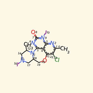 Cc1nc2c3c(nc(=O)n2I)N2C(C)CN(I)CC2COc3c1Cl